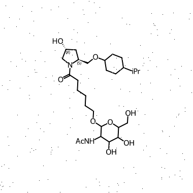 CC(=O)NC1C(OCCCCCC(=O)N2C[C@H](O)C[C@H]2COC2CCC(C(C)C)CC2)OC(CO)C(O)C1O